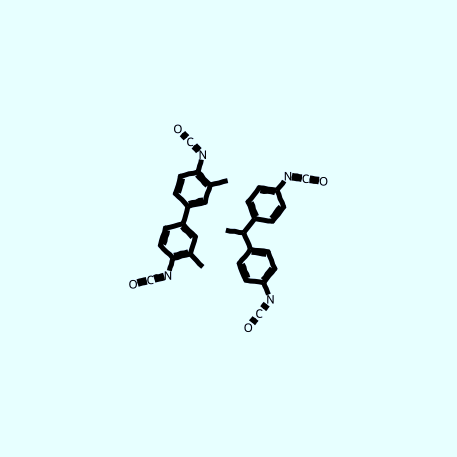 CC(c1ccc(N=C=O)cc1)c1ccc(N=C=O)cc1.Cc1cc(-c2ccc(N=C=O)c(C)c2)ccc1N=C=O